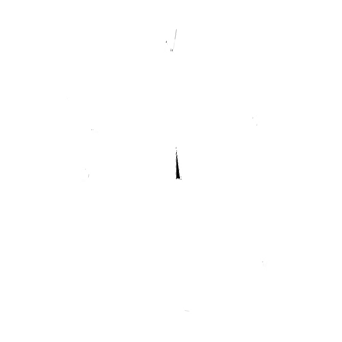 O=C1CCC2=C1[C@H](c1ccc(F)c(Br)c1)C1=C(CCS1)N2